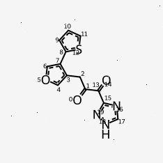 O=C(Cc1cocc1-c1cccs1)C(=O)c1nc[nH]n1